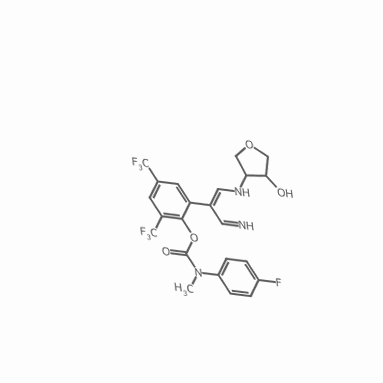 CN(C(=O)Oc1c(/C(C=N)=C/NC2COCC2O)cc(C(F)(F)F)cc1C(F)(F)F)c1ccc(F)cc1